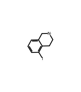 Ic1cccc2c1CC[N]C2